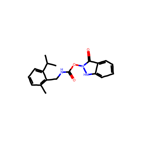 Cc1cccc(C(C)C)c1CNC(=O)On1[nH]c2ccccc2c1=O